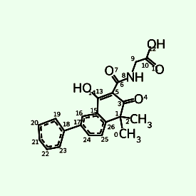 CC1(C)C(=O)C(C(=O)NCC(=O)O)=C(O)c2cc(-c3ccccc3)ccc21